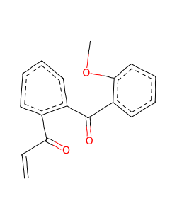 C=CC(=O)c1ccccc1C(=O)c1ccccc1OC